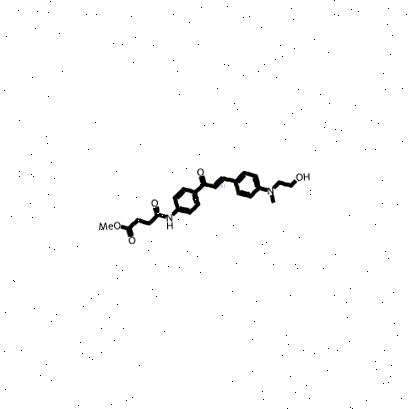 COC(=O)CCC(=O)Nc1ccc(C(=O)/C=C/c2ccc(N(C)CCO)cc2)cc1